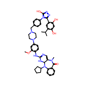 COc1cc(N2CCN(Cc3ccc(-n4c(O)nnc4-c4cc(C(C)C)c(O)cc4O)cc3)CC2)ccc1NC1=NC=C2C(N1)N(C1CCCC1)c1ccccc1C(=O)N2C